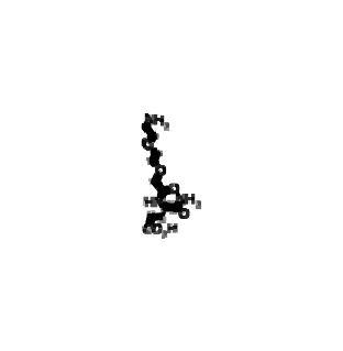 NCCOCCOCC(=O)N[C@@H](CCC(=O)O)C(N)=O